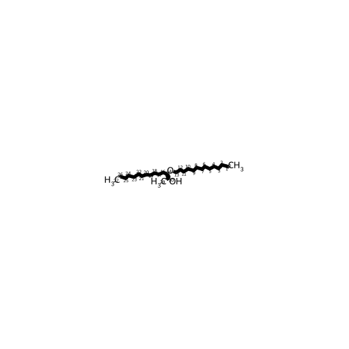 CCCCCCCCCCCCCCOC(CCCCCCCCCCCC)=C(C)O